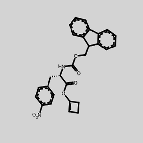 O=C(N[C@@H](Cc1ccc([N+](=O)[O-])cc1)C(=O)OC1=CCC1)OCC1c2ccccc2-c2ccccc21